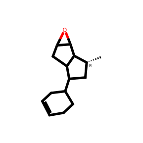 C[C@@H]1CC(C2CC=CCC2)C2CC3OC3C21